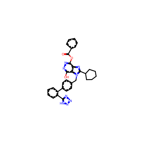 O=C(Oc1nnc(O)c2c1nc(C1CCCCC1)n2Cc1ccc(-c2ccccc2-c2nnn[nH]2)cc1)c1ccccc1